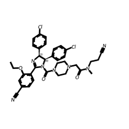 CCOc1cc(C#N)ccc1C1=N[C@@H](c2ccc(Cl)cc2)[C@@H](c2ccc(Cl)cc2)N1C(=O)N1CCN(CC(=O)N(C)CCC#N)CC1